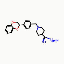 N=NNC(=N)C1CCN(Cc2ccc([C@H]3COc4ccccc4O3)cc2)CC1